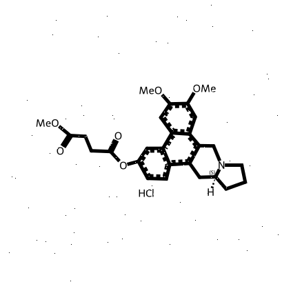 COC(=O)CCC(=O)Oc1ccc2c3c(c4cc(OC)c(OC)cc4c2c1)CN1CCC[C@H]1C3.Cl